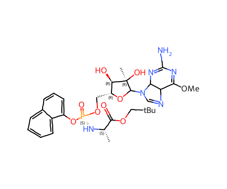 COC1=NC(N)=NC2C1N=CN2C1O[C@H](CO[P@@](=O)(N[C@@H](C)C(=O)OCC(C)(C)C)Oc2cccc3ccccc23)[C@@H](O)[C@@]1(C)O